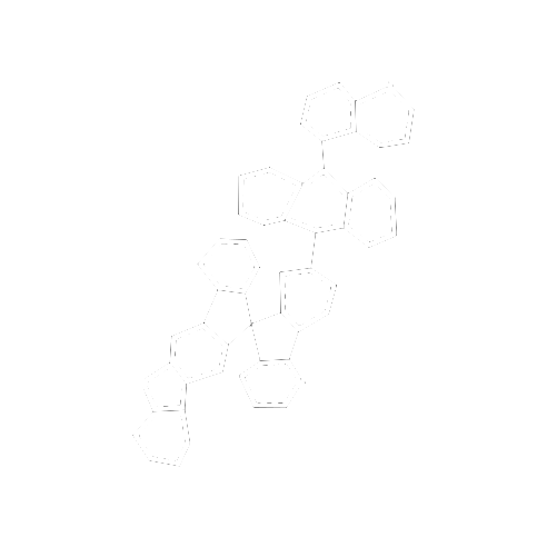 c1ccc2c(c1)-c1cc3sc4ccccc4c3cc1C21c2cc(-c3c4ccccc4c(-c4cccc5ncccc45)c4ccccc34)ccc2-c2ncccc21